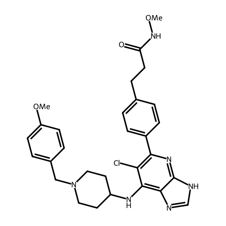 CONC(=O)CCc1ccc(-c2nc3[nH]cnc3c(NC3CCN(Cc4ccc(OC)cc4)CC3)c2Cl)cc1